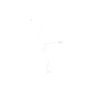 CCCCCC(N)=CCN